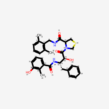 Cc1cccc(C)c1CNC(=O)C1CSCN1C(=O)[C@@H](O)[C@H](Cc1ccccc1)NC(=O)c1cccc(O)c1C